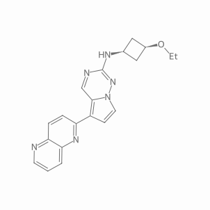 CCO[C@H]1C[C@@H](Nc2ncc3c(-c4ccc5ncccc5n4)ccn3n2)C1